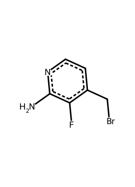 Nc1nccc(CBr)c1F